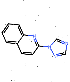 c1ccc2nc(-n3cncn3)ccc2c1